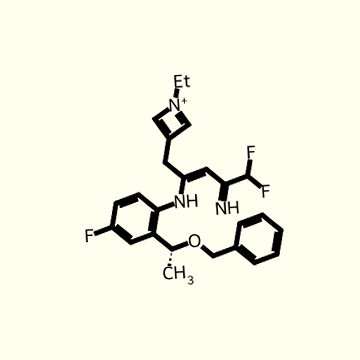 CC[N+]1=CC(C/C(=C/C(=N)C(F)F)Nc2ccc(F)cc2[C@@H](C)OCc2ccccc2)=C1